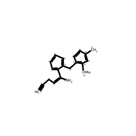 C#CC/C=C(/N)c1ccccc1Cc1ccc(C)cc1OC